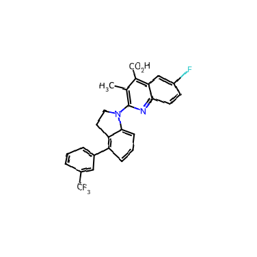 Cc1c(N2CCc3c(-c4cccc(C(F)(F)F)c4)cccc32)nc2ccc(F)cc2c1C(=O)O